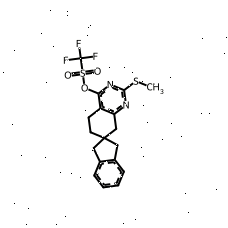 CSc1nc2c(c(OS(=O)(=O)C(F)(F)F)n1)CCC1(Cc3ccccc3C1)C2